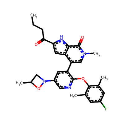 CCCC(=O)c1cc2c(-c3cc(N4CC(C)O4)cnc3Oc3c(C)cc(F)cc3C)cn(C)c(=O)c2[nH]1